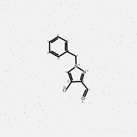 O=Cc1nn(Cc2ccccc2)cc1Cl